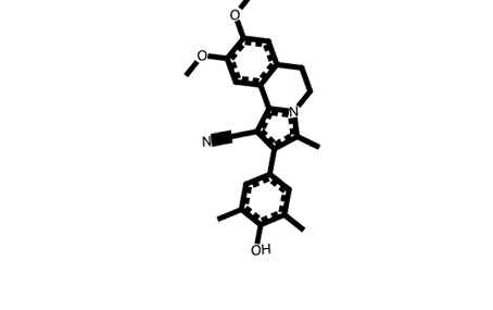 COc1cc2c(cc1OC)-c1c(C#N)c(-c3cc(C)c(O)c(C)c3)c(C)n1CC2